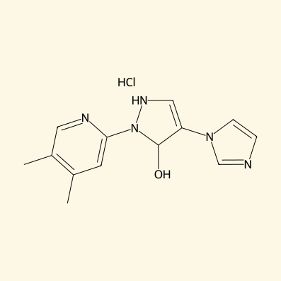 Cc1cnc(N2NC=C(n3ccnc3)C2O)cc1C.Cl